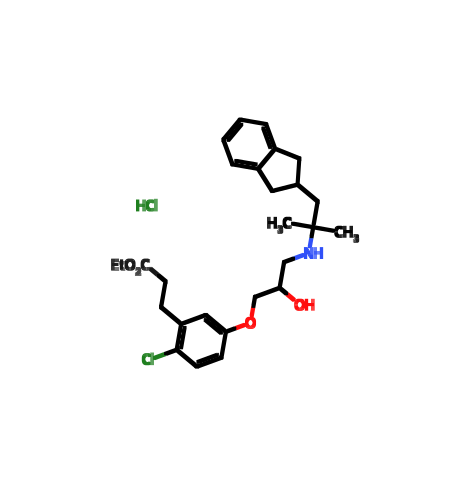 CCOC(=O)CCc1cc(OCC(O)CNC(C)(C)CC2Cc3ccccc3C2)ccc1Cl.Cl